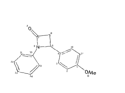 COc1ccc(C2CC(=O)N2c2ccccc2)cc1